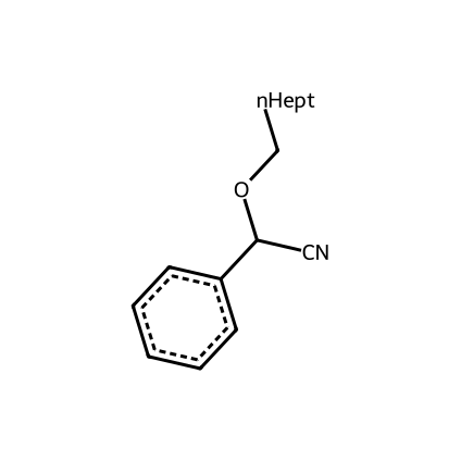 CCCCCCCCOC(C#N)c1ccccc1